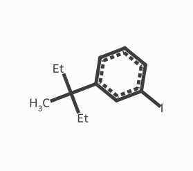 CCC(C)(CC)c1cccc(I)c1